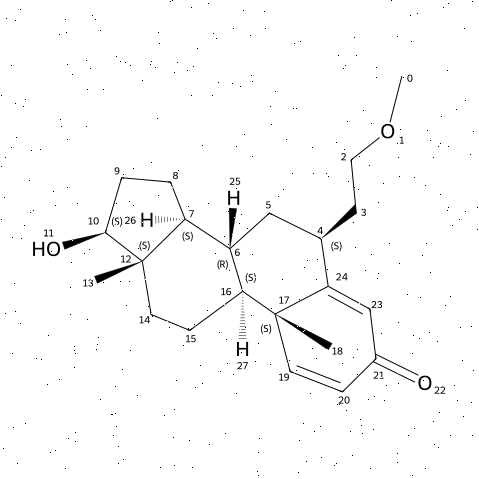 COCC[C@@H]1C[C@H]2[C@@H]3CC[C@H](O)[C@@]3(C)CC[C@@H]2[C@@]2(C)C=CC(=O)C=C12